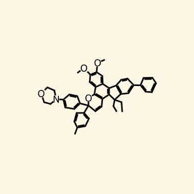 CCC1(CC)c2cc(-c3ccccc3)ccc2-c2c1c1c(c3cc(OC)c(OC)cc23)OC(c2ccc(C)cc2)(c2ccc(N3CCOCC3)cc2)C=C1